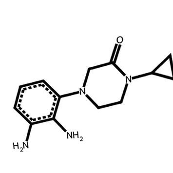 Nc1cccc(N2CCN(C3CC3)C(=O)C2)c1N